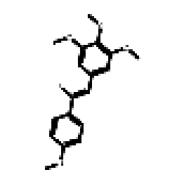 COc1ccc(C(F)=Cc2cc(OC)c(OC)c(OC)c2)cc1